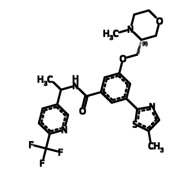 Cc1cnc(-c2cc(OC[C@H]3COCCN3C)cc(C(=O)NC(C)c3ccc(C(F)(F)F)nc3)c2)s1